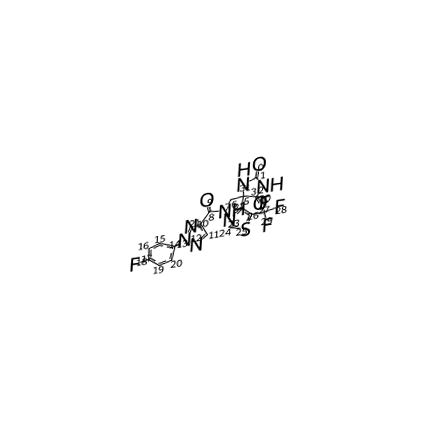 O=C1NC(=O)C(CNC(=O)c2cnn(-c3ccc(F)cc3)n2)(c2ncsc2C(F)(F)F)N1